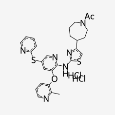 CC(=O)N1CCCC(c2csc(Nc3ncc(Sc4ccccn4)cc3Oc3cccnc3C)n2)CC1.Cl.Cl